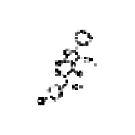 C[C@H]1[C@@H](c2ccccc2)OC(=O)N1C(=O)[C@@H](Br)[C@H](O)c1ccc(Cl)cc1